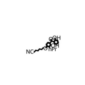 CCCc1c(OCCCCCCC#N)ccc(C(=O)c2ccccc2O)c1O